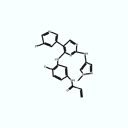 C=CC(=O)Nc1ccc(F)c(Nc2nc(Nc3cnn(C)c3)ncc2-c2cncc(F)c2)c1